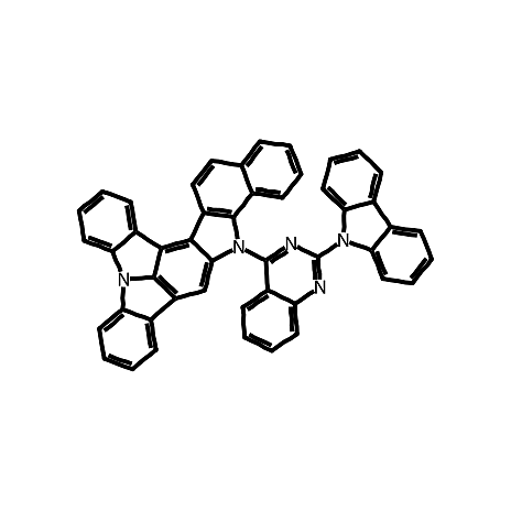 c1ccc2c(c1)ccc1c3c4c5ccccc5n5c6ccccc6c(cc3n(-c3nc(-n6c7ccccc7c7ccccc76)nc6ccccc36)c21)c45